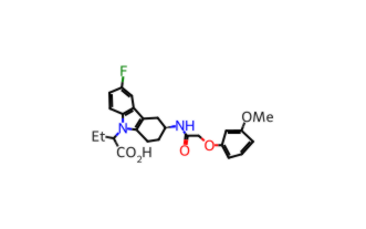 CCC(C(=O)O)n1c2c(c3cc(F)ccc31)C[C@@H](NC(=O)COc1cccc(OC)c1)CC2